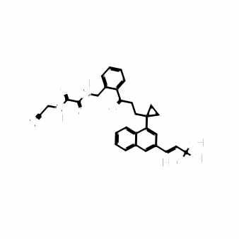 CC(C)(O)/C=C/c1cc(C2(CCC(=O)c3ccccc3CNC(=O)C(=O)NCC#N)CC2)c2ccccc2c1